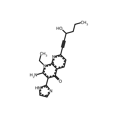 CCCC(O)C#Cc1ccc2c(=O)c(-c3ncc[nH]3)c(N)n(CC)c2n1